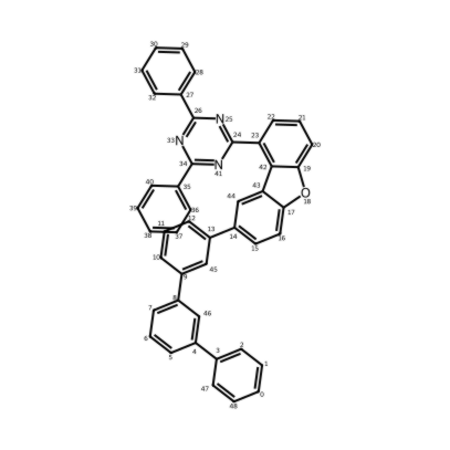 c1ccc(-c2cccc(-c3cccc(-c4ccc5oc6cccc(-c7nc(-c8ccccc8)nc(-c8ccccc8)n7)c6c5c4)c3)c2)cc1